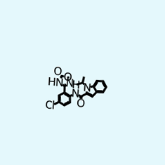 CC(C)n1c(C(=O)Nc2ccc(Cl)cc2-c2noc(=O)[nH]2)cc2ccccc21